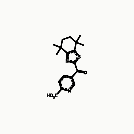 CC1(C)CCC(C)(C)c2sc(C(=O)c3ccc(C(=O)O)nc3)nc21